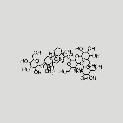 C=C1CC23CCC4[C@](C)(C(=O)OC5OC(CO)C(O)C(OC6OC(CO)C(O)C(O)C6O)C5OC5OC(CO)C(O)C(O)C5O)CCC[C@@]4(C)[C@@H]2CC[C@]1(OC1OC(CO)C(O)C(O)C1O)[C@@H]3C